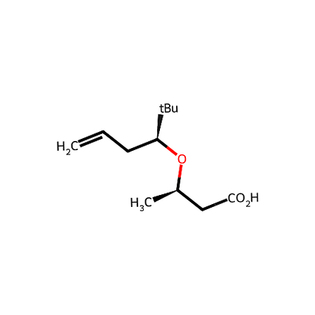 C=CC[C@H](O[C@H](C)CC(=O)O)C(C)(C)C